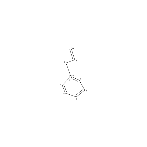 [CH]=CC[n+]1ccccc1